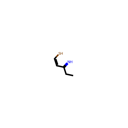 CCC(=N)/C=C\S